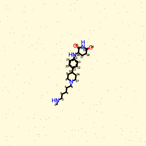 CNCCCCCN1CCC(c2ccc(NC3CCC(=O)NC3=O)cc2)CC1